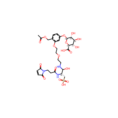 CC(=O)OCc1ccc(O[C@@H]2O[C@H](C(=O)O)[C@@H](O)[C@H](O)[C@H]2O)cc1OCCOCCNC(O)[C@H](CS(=O)(=O)O)NC(=O)CCN1C(=O)C=CC1=O